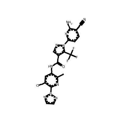 Cc1nc(-n2nccn2)c(Cl)cc1NC(=O)c1cnn(-c2ccc(C#N)c(N)n2)c1C(F)(F)F